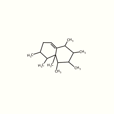 CC1CC=C2C(C)C(C)C(C)C(C)C2(C)C1C